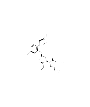 COCCC(C(=O)OC)N(CC(=O)Nc1cc(Cl)ccc1-n1cc(Cl)nn1)C(=O)CCl